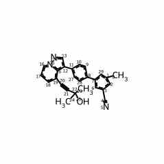 Cc1cc(C#N)cc(-c2ccc(-c3cnn4cccc(C#CC(C)(C)O)c34)cc2)c1